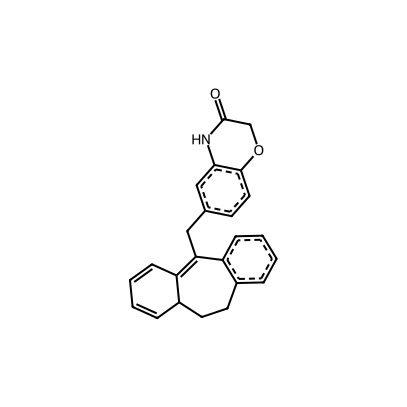 O=C1COc2ccc(CC3=C4C=CC=CC4CCc4ccccc43)cc2N1